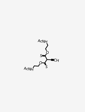 C#CC(C(=S)OCCNC(C)=O)C(=S)OCCNC(C)=O